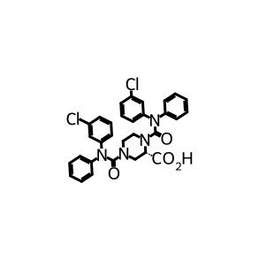 O=C(O)[C@@H]1CN(C(=O)N(c2ccccc2)c2cccc(Cl)c2)CCN1C(=O)N(c1ccccc1)c1cccc(Cl)c1